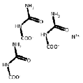 NC(=O)NC(=O)[O-].NC(=O)NC(=O)[O-].NC(=O)NC(=O)[O-].[N+3]